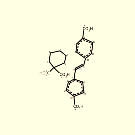 O=C(O)C1(C(=O)O)CCCCC1.O=C(O)c1ccc(/C=C/c2ccc(C(=O)O)cc2)cc1